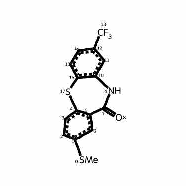 CSc1ccc2c(c1)C(=O)Nc1cc(C(F)(F)F)ccc1S2